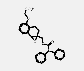 O=C(O)COc1cccc2c1CCC1(COC(=O)N(c3ccccc3)c3ccccc3)OC21